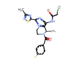 Cc1nsc(-c2nc(NC(=O)CCl)c3n2CCN(C(=O)c2ccc(F)cc2)C3C)n1